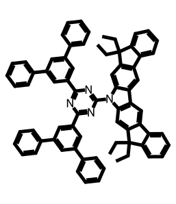 CCC1(CC)c2ccccc2-c2cc3c4cc5c(cc4n(-c4nc(-c6cc(-c7ccccc7)cc(-c7ccccc7)c6)nc(-c6cc(-c7ccccc7)cc(-c7ccccc7)c6)n4)c3cc21)C(CC)(CC)c1ccccc1-5